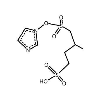 CC(CCS(=O)(=O)O)CS(=O)(=O)On1ccnc1